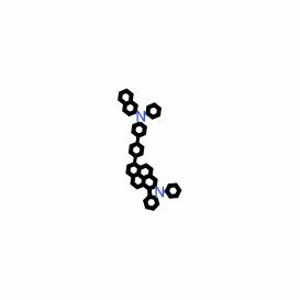 c1ccc(N(c2ccc(-c3ccc(-c4ccc5ccc6c7c(ccc4c57)cc4c6c5ccccc5n4-c4ccccc4)cc3)cc2)c2ccc3ccccc3c2)cc1